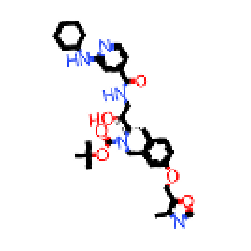 Cc1ncoc1COc1ccc2c(c1)CN(C(=O)OC(C)(C)C)[C@H]([C@H](O)CNC(=O)c1ccnc(NC3CCCCC3)c1)C2